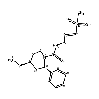 CC[C@H]1CCN(C(=O)NC/C=C/S(C)(=O)=O)[C@@H](c2ccccc2)C1